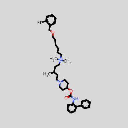 CCc1ccccc1COCCCCCC[N+](C)(C)CCC(C)CCN1CCC(OC(=O)Nc2ccccc2-c2ccccc2)CC1